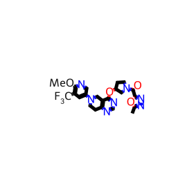 COc1ncc(N2CCc3ncnc(OC4CCN(C(=O)c5nnc(C)o5)C4)c3C2)cc1C(F)(F)F